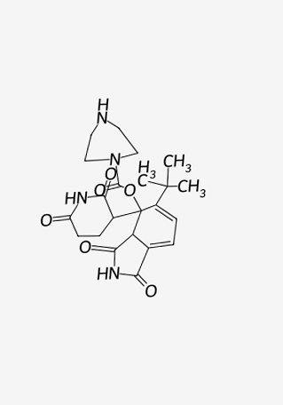 CC(C)(C)C1=CC=C2C(=O)NC(=O)C2C1(OC(=O)N1CCNCC1)C1CCC(=O)NC1=O